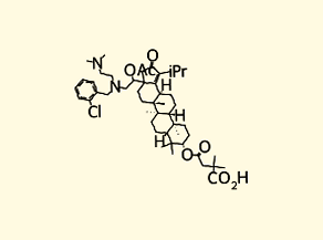 CC(=O)OC(CN(CCN(C)C)Cc1ccccc1Cl)C12CC[C@]3(C)[C@H](CC[C@@H]4[C@@]5(C)CC[C@H](OC(=O)CC(C)(C)C(=O)O)C(C)(C)[C@@H]5CC[C@]43C)C1=C(C(C)C)C(=O)C2